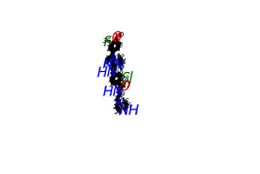 COc1ccc(-c2cnc3c(Nc4ccc(C(=O)NCCN5CCNCC5)c(Cl)c4)nccn23)cc1F